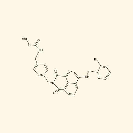 CC(C)(C)OC(=O)NCc1ccc(CN2C(=O)c3cccc4c(NCc5ccccc5Br)ccc(c34)C2=O)cc1